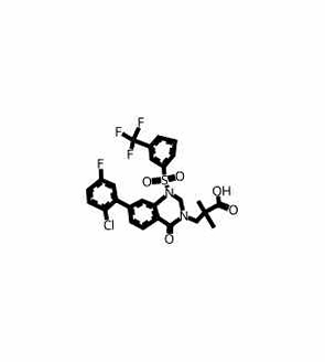 CC(C)(CN1CN(S(=O)(=O)c2cccc(C(F)(F)F)c2)c2cc(-c3cc(F)ccc3Cl)ccc2C1=O)C(=O)O